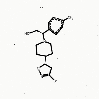 OC[C@@H](c1ccc(C(F)(F)F)cc1)N1CCC([C@H]2CC(Br)=NO2)CC1